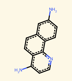 Nc1ccc2c(ccc3c(N)ccnc32)c1